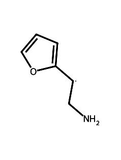 NC[CH]c1ccco1